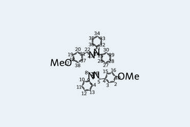 COc1ccc(/C=N/N(C)c2ccccc2)cc1.COc1ccc(/C=N/N(c2ccccc2)c2ccccc2)cc1